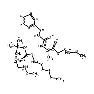 CCCCCNOC(=O)OC(C)(C)C.CCNCC.CCNCCC(=O)[C@H](C)NC(=O)OCc1ccccc1